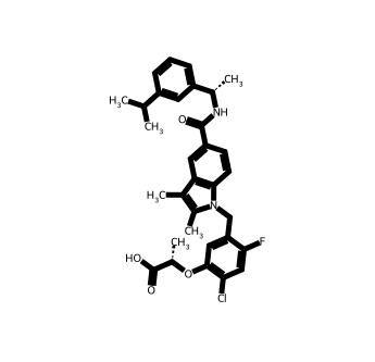 Cc1c(C)n(Cc2cc(O[C@@H](C)C(=O)O)c(Cl)cc2F)c2ccc(C(=O)N[C@@H](C)c3cccc(C(C)C)c3)cc12